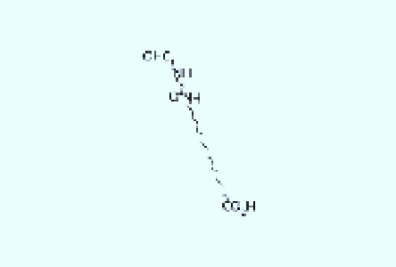 O=[C]CCNCCC(=O)NCCCCCCCCCCCCCCCCC(=O)O